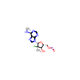 CNc1ncnc2c1ncn2[C@@H]1O[C@H](COP=O)[C@@H](O)[C@@]1(C)F